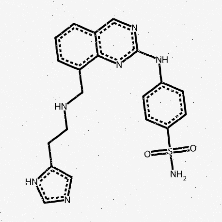 NS(=O)(=O)c1ccc(Nc2ncc3cccc(CNCCc4cnc[nH]4)c3n2)cc1